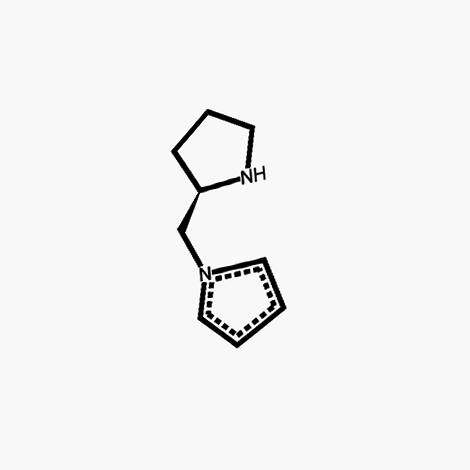 c1ccn(C[C@H]2CCCN2)c1